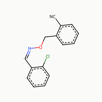 N#Cc1ccccc1CO/N=[C]\c1ccccc1Cl